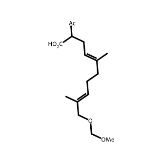 COCOCC(C)=CCCC(C)=CCC(C(C)=O)C(=O)O